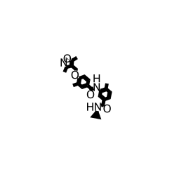 Cc1ccc(C(=O)NC2CC2)cc1NC(=O)c1ccc(OCc2c(C)noc2C)c(C)c1